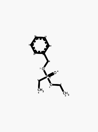 CCOP(=O)(CC)OCc1ccccc1